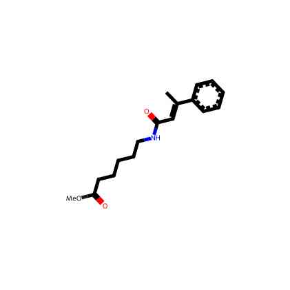 COC(=O)CCCCCNC(=O)C=C(C)c1ccccc1